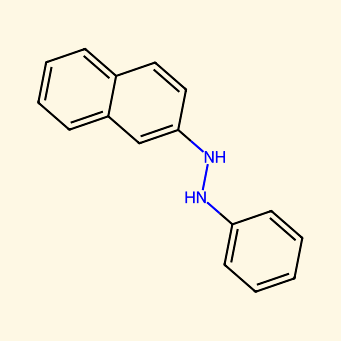 c1ccc(NNc2ccc3ccccc3c2)cc1